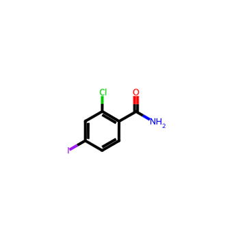 NC(=O)c1ccc(I)cc1Cl